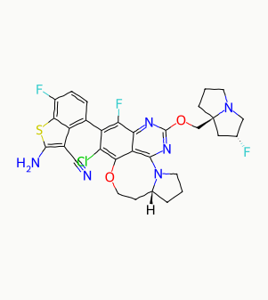 N#Cc1c(N)sc2c(F)ccc(-c3c(Cl)c4c5c(nc(OC[C@@]67CCCN6C[C@H](F)C7)nc5c3F)N3CCC[C@@H]3CCO4)c12